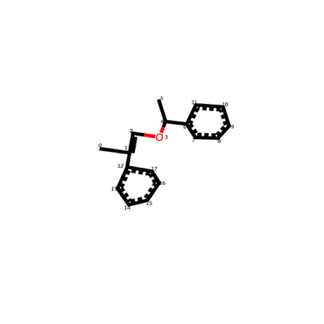 CC(=COC(C)c1ccccc1)c1ccccc1